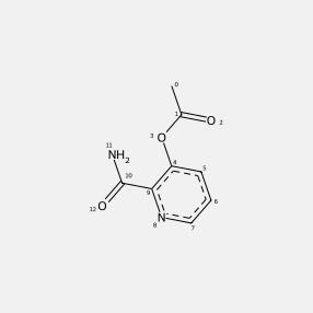 CC(=O)Oc1cccnc1C(N)=O